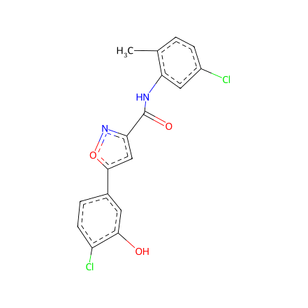 Cc1ccc(Cl)cc1NC(=O)c1cc(-c2ccc(Cl)c(O)c2)on1